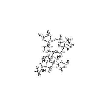 CN1N=C(NS(C)(=O)=O)C2C(Cl)=CC=C(n3c([C@H](Cc4cc(F)cc(F)c4)NC(=O)Cn4nc(C(F)F)c5c4C(F)(F)[C@@H]4C[C@H]54)nc4cc(-c5ccc(F)c(C#N)c5)ccc4c3=O)C21